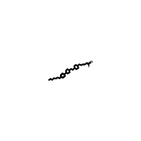 CCCCCCCc1ccc(C2CCC(CCC3CCC(CCC=CC=C(F)C#N)CC3)CC2)cc1